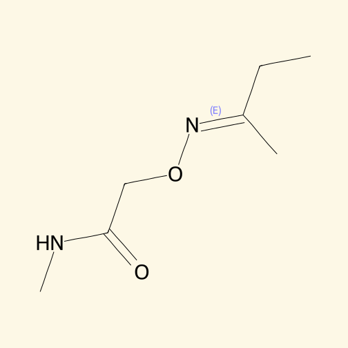 CC/C(C)=N/OCC(=O)NC